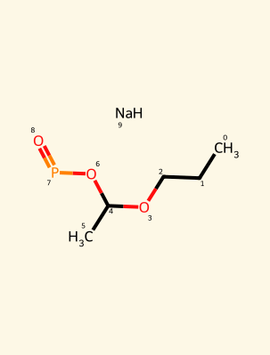 CCCOC(C)OP=O.[NaH]